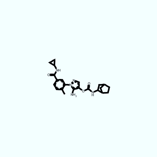 Cc1ccc(C(=O)NC2CC2)cc1-n1ncc(OC(=O)NC2CC3CCC2C3)c1N